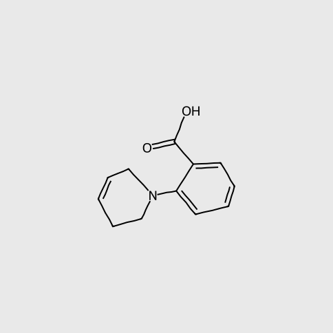 O=C(O)c1ccccc1N1CC=CCC1